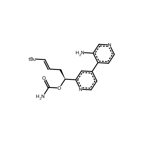 CC(C)(C)C=CC[C@H](OC(N)=O)c1cc(-c2ccncc2N)ccn1